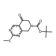 CSc1ncc2c(n1)CN(C(=O)OC(C)(C)C)CC2=O